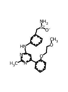 COCCOc1ccccc1-c1cc(Nc2cccc(C[S+](N)[O-])c2)nc(C)n1